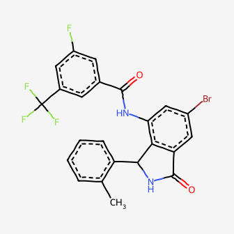 Cc1ccccc1C1NC(=O)c2cc(Br)cc(NC(=O)c3cc(F)cc(C(F)(F)F)c3)c21